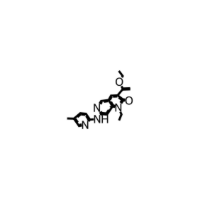 C=C(OCC)c1cc2cnc(Nc3ccc(C)cn3)cc2n(CC)c1=O